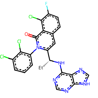 CC[C@@H](Nc1ncnc2[nH]cnc12)c1cc2ccc(F)c(Cl)c2c(=O)n1-c1cccc(Cl)c1Cl